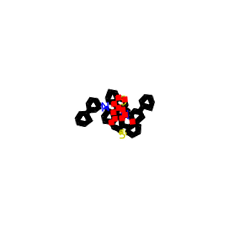 c1ccc(-c2cccc(N(c3ccccc3-c3ccccc3N(c3cccc(-c4ccccc4)c3)c3cccc4sc5ccccc5c34)c3cccc4sc5ccccc5c34)c2)cc1